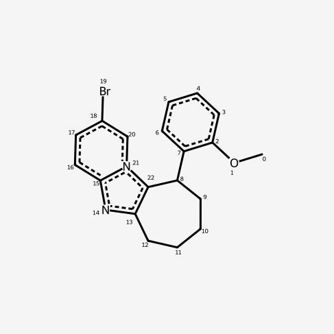 COc1ccccc1C1CCCCc2nc3ccc(Br)cn3c21